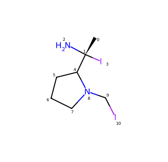 C[C@@](N)(I)C1CCCN1CI